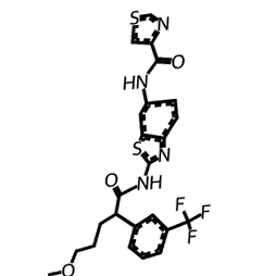 COCCCC(C(=O)Nc1nc2ccc(NC(=O)c3cscn3)cc2s1)c1cccc(C(F)(F)F)c1